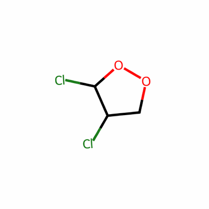 ClC1COOC1Cl